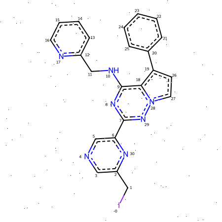 ICc1cncc(-c2nc(NCc3ccccn3)c3c(-c4ccccc4)ccn3n2)n1